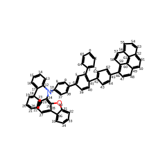 c1ccc(-c2cc(-c3ccc(N(c4ccccc4-c4ccccc4)c4cccc5c4oc4ccccc45)cc3)ccc2-c2ccc(-c3ccc4ccc5cccc6ccc3c4c56)cc2)cc1